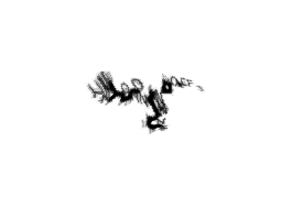 O=C(Nc1cn([C@H]2C[C@@H](OCC(F)(F)F)C2)nc1-c1cccc(F)n1)c1ccc(-c2cn[nH]c2)o1